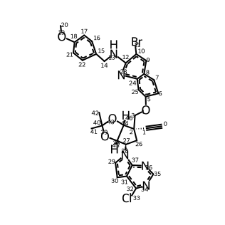 C#C[C@]1(COc2ccc3cc(Br)c(NCc4ccc(OC)cc4)nc3c2)C[C@@H](n2ccc3c(Cl)ncnc32)[C@@H]2OC(C)(C)O[C@@H]21